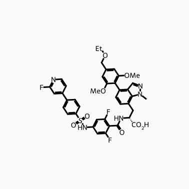 CCOCc1cc(OC)c(-c2ccc(C[C@@H](NC(=O)c3c(F)cc(NS(=O)(=O)c4ccc(-c5ccnc(F)c5)cc4)cc3F)C(=O)O)c3c2cnn3C)c(OC)c1